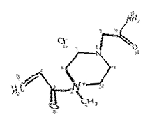 C=CC(=O)[N+]1(C)CCN(CC(N)=O)CC1.[Cl-]